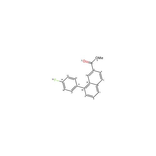 COC(=O)c1ccc2cccc(-c3ccc(F)cc3)c2c1